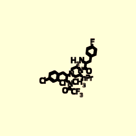 CCCC1CN(C(Cc2ccc(Cl)cc2Cl)CN(C)C(=O)C(F)(F)F)CCN1C(=O)C(N)Cc1ccc(F)cc1